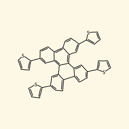 c1csc(-c2ccc3c4ccc(-c5cccs5)cc4c4c5cc(-c6cccs6)ccc5c5ccc(-c6cccs6)cc5c4c3c2)c1